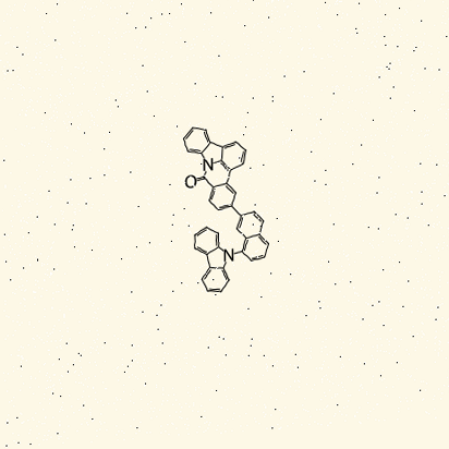 O=c1c2ccc(-c3ccc4cccc(-n5c6ccccc6c6ccccc65)c4c3)cc2c2cccc3c4ccccc4n1c23